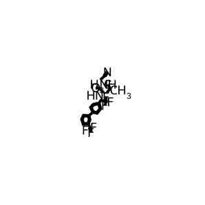 CC(C)C[C@H](N[C@@H](c1ccc(-c2cccc(C(F)(F)F)c2)cc1)C(F)(F)F)C(=O)NCC#N